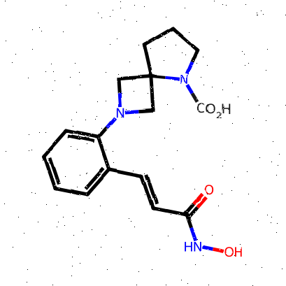 O=C(C=Cc1ccccc1N1CC2(CCCN2C(=O)O)C1)NO